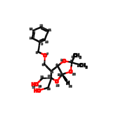 CC1(C)OC2C(COCc3ccccc3)C(CO)(CO)O[C@H]2O1